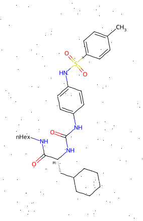 CCCCCCNC(=O)[C@@H](CC1CCCCC1)NC(=O)Nc1ccc(NS(=O)(=O)c2ccc(C)cc2)cc1